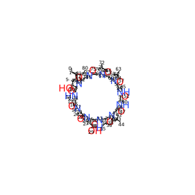 C/C=C/C[C@@H](C)[C@@H](O)[C@H]1C(=O)N[C@@H](CC)C(=O)N(C)[C@H](C)C(=O)N(C)[C@@H]([C@@H](C)CO)C(=O)N[C@@H](C(C)C)C(=O)N(C)[C@@H](CC(C)C)C(=O)N[C@@H](C)C(=O)N[C@H](C)C(=O)N(C)[C@@H](CC(C)C)C(=O)N(C)[C@@H](CC(C)C)C(=O)N(C)[C@@H](C(C)C)C(=O)N1C